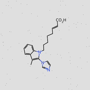 Cc1c(-n2ccnc2)n(CCCCCC=CC(=O)O)c2ccccc12